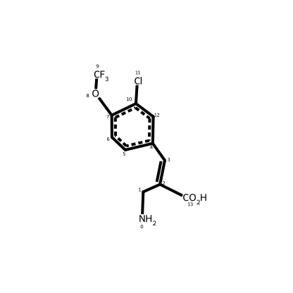 NCC(=Cc1ccc(OC(F)(F)F)c(Cl)c1)C(=O)O